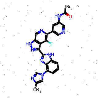 Cc1cn(-c2cccc3[nH]c(-c4n[nH]c5cnc(-c6cncc(NC(=O)C(C)(C)C)c6)c(F)c45)nc23)cn1